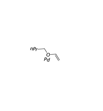 C=COCCCC.[Pd]